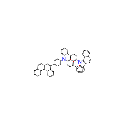 C1=CC2C=Cc3c(n(-c4ccc(-c5ccccc5N(c5ccc(-c6ccccc6)cc5)c5ccc(-c6cc7ccc8ccccc8c7c7ccccc67)cc5)cc4)c4ccccc34)C2C=C1